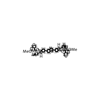 COC(=O)N[C@H](C(=O)N1C2C(C[C@H]1c1nc3ccc(-c4ccc5nc(-c6ccc7nc([C@@H]8C[C@H]9C[C@H]9N8C(=O)[C@@H](NC(=O)OC)C8CCOCC8)[nH]c7c6)cnc5c4)cc3[nH]1)[C@H]2C)C1CCOCC1